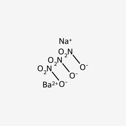 O=[N+]([O-])[O-].O=[N+]([O-])[O-].O=[N+]([O-])[O-].[Ba+2].[Na+]